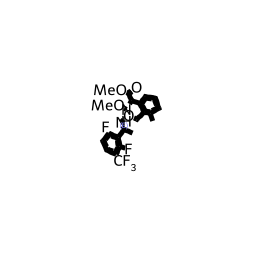 CONC(C(=O)OC)c1cccc(C)c1CO/N=C(\C)c1c(F)ccc(C(F)(F)F)c1F